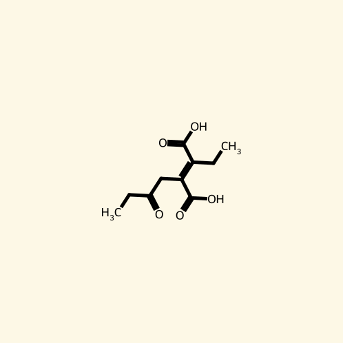 CCC(=O)CC(C(=O)O)=C(CC)C(=O)O